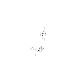 CC(C)n1cc(NS(=O)(=O)NC(=O)Nc2c3c(c(CN4CC[C@@H](N(C)S(=O)(=O)NC(=O)Nc5c6c(cc7c5CCC7)CCC6)C4)c4c2CCC4)CCC3)cn1